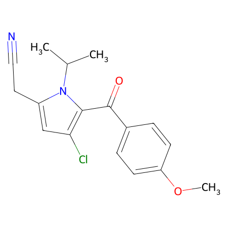 COc1ccc(C(=O)c2c(Cl)cc(CC#N)n2C(C)C)cc1